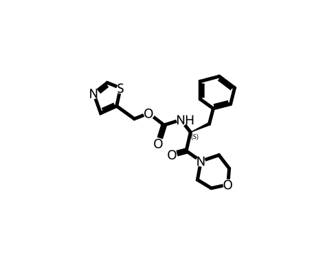 O=C(N[C@@H](Cc1ccccc1)C(=O)N1CCOCC1)OCc1cncs1